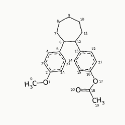 COc1ccc(C2CCCCCC2c2ccc(OC(C)=O)cc2)cc1